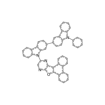 c1ccc(-n2c3ccccc3c3cc(-c4ccc5c6ccccc6n(-c6cnc7oc8c9ccccc9c9ccccc9c8c7n6)c5c4)ccc32)cc1